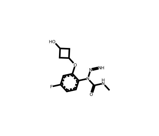 CNC(=O)N(N=N)c1ccc(F)cc1OC1CC(O)C1